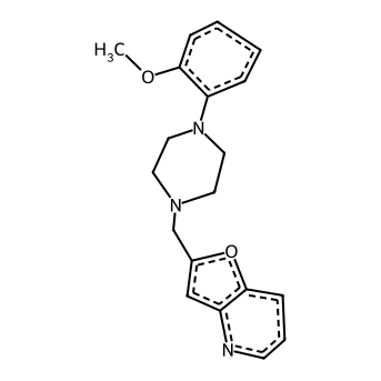 COc1ccccc1N1CCN(Cc2cc3ncccc3o2)CC1